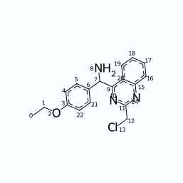 CCOc1ccc(C(N)c2nc(CCl)nc3ccccc23)cc1